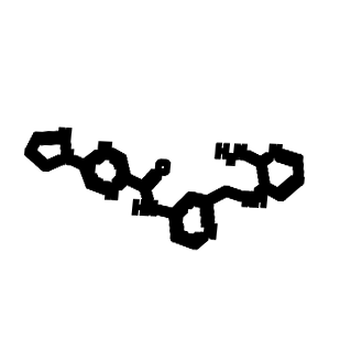 NC1N=CC=CC1NCc1cc(NC(=O)c2cnc(N3CCC=N3)cn2)ccn1